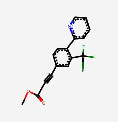 COC(=O)C#Cc1ccc(-c2ccccn2)c(C(F)(F)F)c1